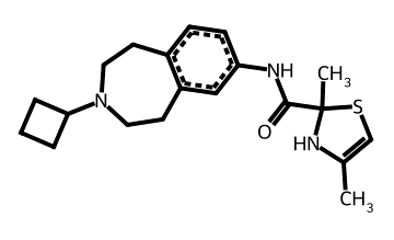 CC1=CSC(C)(C(=O)Nc2ccc3c(c2)CCN(C2CCC2)CC3)N1